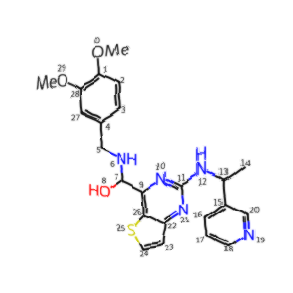 COc1ccc(CNC(O)c2nc(NC(C)c3cccnc3)nc3ccsc23)cc1OC